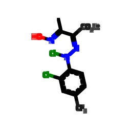 CCOC(=O)C(=NN(Cl)c1ccc(C(F)(F)F)cc1Cl)C(C)=NO